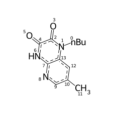 CCCCn1c(=O)c(=O)[nH]c2ncc(C)cc21